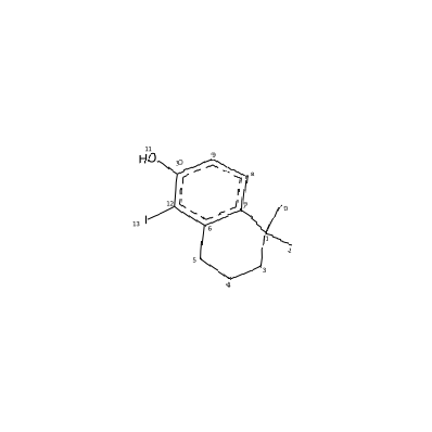 CC1(C)CCCc2c1ccc(O)c2I